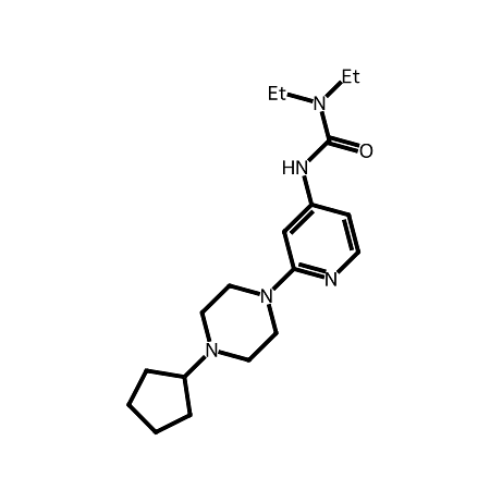 CCN(CC)C(=O)Nc1ccnc(N2CCN(C3CCCC3)CC2)c1